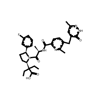 CCC(CC)(C(=O)O)[C@H]1CC[C@@H](c2cccc(F)c2)N1C(=O)[C@@H](C)NC(=O)c1ccc(Cc2cc(C)n[nH]c2=O)c(C)n1